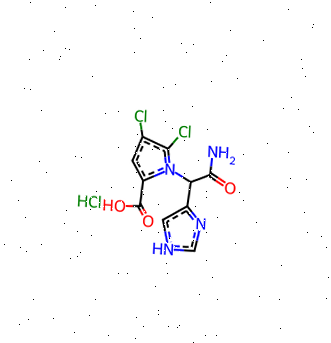 Cl.NC(=O)C(c1c[nH]cn1)n1c(C(=O)O)cc(Cl)c1Cl